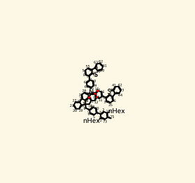 CCCCCCc1cc(-c2ccc(CC3(Cc4ccc(C)cc4)c4ccccc4-c4ccc(N(c5ccc(-c6cccc7c6sc6ccccc67)cc5)c5ccc(-c6cccc7c6sc6ccccc67)cc5)cc43)cc2)c(CCCCCC)cc1C